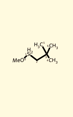 CO[SiH2]CC(C)(C)C